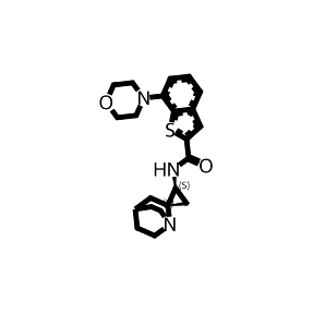 O=C(N[C@H]1C[C@@]12CC1CCN2CC1)c1cc2cccc(N3CCOCC3)c2s1